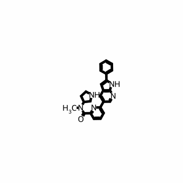 CN(C(=O)c1cccc(-c2cnc3[nH]c(-c4ccccc4)cc3c2)n1)C1CCNC1